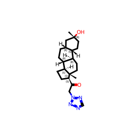 C[C@@]1(O)CC[C@H]2[C@H](CC[C@@H]3[C@@H]2CC[C@]2(C)[C@@H](C(=O)Cn4ncnn4)CC[C@@H]32)C1